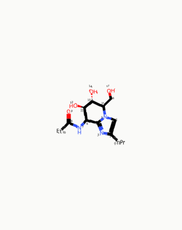 CCCc1cn2c(n1)C(NC(=O)CC)[C@@H](O)[C@H](O)C2CO